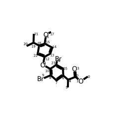 COC(=O)C(C)c1cc(Br)c(Oc2ccc(OC)c(C(C)C)c2)c(Br)c1